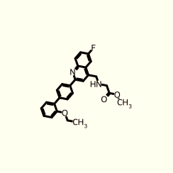 CCOc1ccccc1-c1ccc(-c2cc(CNCC(=O)OC)c3cc(F)ccc3n2)cc1